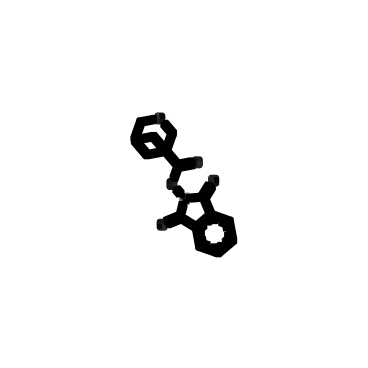 O=C1c2ccccc2C(=O)N1OC(=O)C12COCC(C1)C2